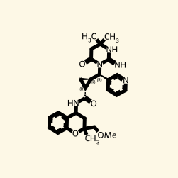 COCC1(C)CC(NC(=O)[C@@H]2C[C@H]2[C@H](c2cccnc2)N2C(=N)NC(C)(C)CC2=O)c2ccccc2O1